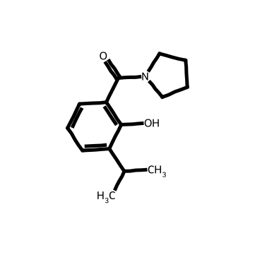 CC(C)c1cccc(C(=O)N2CCCC2)c1O